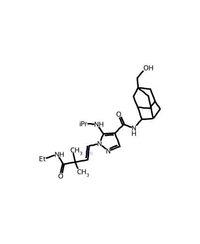 CCNC(=O)C(C)(C)/C=C/n1ncc(C(=O)NC2C3CC4CC2CC(CO)(C4)C3)c1NC(C)C